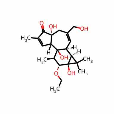 CCO[C@@H]1[C@@H](C)[C@@]2(O)[C@@H](C=C(CO)C[C@]3(O)C(=O)C(C)=C[C@@H]23)[C@H]2C(C)(C)[C@]12O